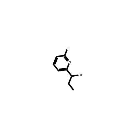 CCC(O)c1cccc(Cl)n1